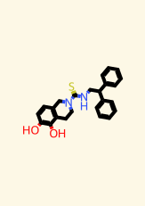 Oc1ccc2c(c1O)CCN(C(=S)NCC(c1ccccc1)c1ccccc1)C2